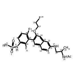 CCCS(=O)(=O)Nc1ccc(F)c(-c2cc3cnc(NCC(C)NC(C)=O)cc3cc2OCCF)c1F